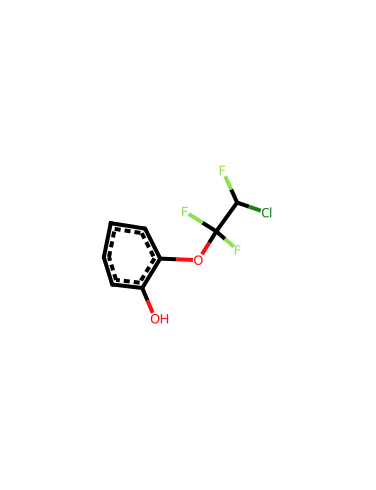 Oc1ccccc1OC(F)(F)C(F)Cl